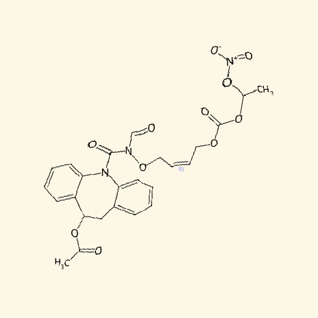 CC(=O)OC1Cc2ccccc2N(C(=O)N(C=O)OC/C=C\COC(=O)OC(C)O[N+](=O)[O-])c2ccccc21